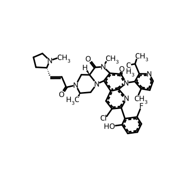 Cc1ccnc(C(C)C)c1-n1c(=O)c2c(c3cc(Cl)c(-c4c(O)cccc4F)nc31)N1C[C@@H](C)N(C(=O)/C=C/[C@@H]3CCCN3C)C[C@@H]1C(=O)N2C